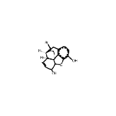 CC(C)N1CC[C@]23c4c5ccc(O)c4OC2C(O)C=C[C@H]3[C@H]1C5